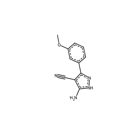 COc1cccc(-c2n[nH]c(N)c2C#N)c1